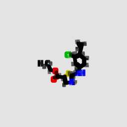 CCOC(=O)c1cnc(Nc2ccc(C3CC3)c(Cl)c2)s1